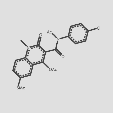 CSc1ccc2c(c1)c(OC(C)=O)c(C(=O)N(C(C)=O)c1ccc(Cl)cc1)c(=O)n2C